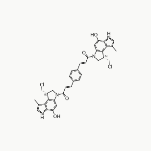 Cc1c[nH]c2c(O)cc3c(c12)[C@H](CCl)CN3C(=O)C=Cc1ccc(C=CC(=O)N2C[C@@H](CCl)c3c2cc(O)c2[nH]cc(C)c32)cc1